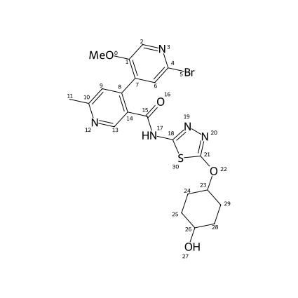 COc1cnc(Br)cc1-c1cc(C)ncc1C(=O)Nc1nnc(OC2CCC(O)CC2)s1